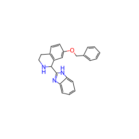 c1ccc(COc2ccc3c(c2)C(c2nc4ccccc4[nH]2)NCC3)cc1